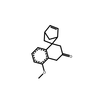 COc1cccc2c1CC(=O)CC21CC2C=CC1C2